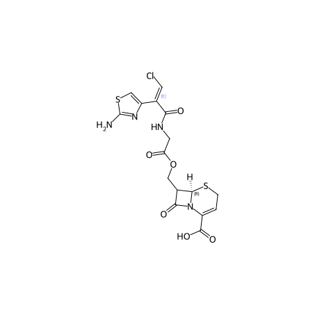 Nc1nc(/C(=C\Cl)C(=O)NCC(=O)OCC2C(=O)N3C(C(=O)O)=CCS[C@H]23)cs1